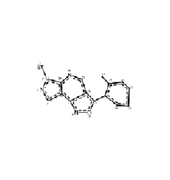 CCn1ncc2c3noc(-c4ccccc4C)c3cnc21